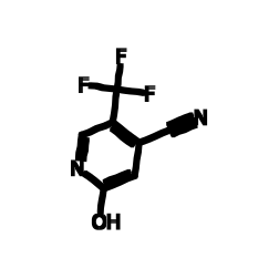 N#Cc1cc(O)ncc1C(F)(F)F